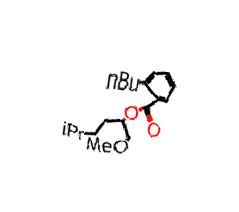 CCCCc1ccccc1C(=O)OC(CCC(C)C)COC